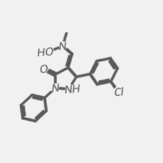 CN(O)C=C1C(=O)N(c2ccccc2)NC1c1cccc(Cl)c1